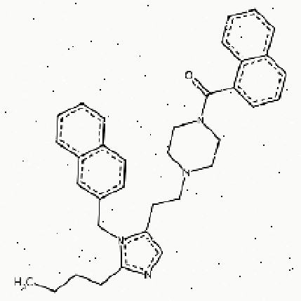 CCCCc1ncc(CCN2CCN(C(=O)c3cccc4ccccc34)CC2)n1Cc1ccc2ccccc2c1